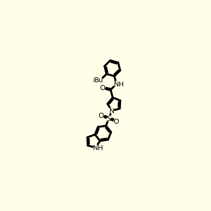 CCC(C)c1ccccc1NC(=O)c1ccn(S(=O)(=O)c2ccc3[nH]ccc3c2)c1